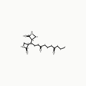 CCCC(=O)CCCC(=O)CCC(C1COC1=O)C1COC1=O